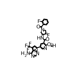 [2H]COc1ncc(-c2cc(C(F)(F)F)c3c(N)ncnn23)cc1C(=O)N[C@@H]1CN(C(=O)c2ccccc2F)C[C@@H]1F